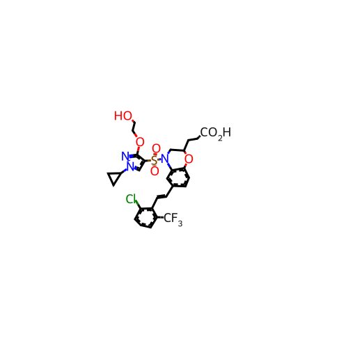 O=C(O)CCC1CN(S(=O)(=O)c2cn(C3CC3)nc2OCCO)c2cc(C=Cc3c(Cl)cccc3C(F)(F)F)ccc2O1